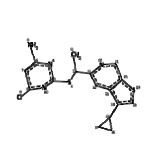 CC(Sc1nc(N)cc(Cl)n1)c1cc2c(C3CC3)csc2cn1